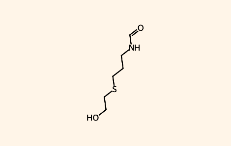 O=CNCCCSCCO